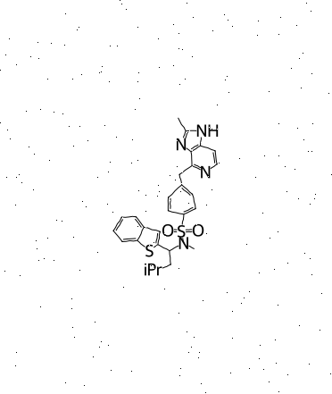 Cc1nc2c(Cc3ccc(S(=O)(=O)N(C)C(CC(C)C)c4cc5ccccc5s4)cc3)nccc2[nH]1